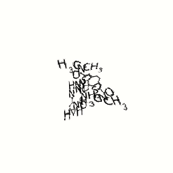 CN(C)C(=O)c1cc2c(s1)C(CCNCC(=O)N1[C@H](C#N)C[C@@H]3C[C@@H]31)(c1nn[nH]n1)c1sc(C(=O)N(C)C)cc1CC2